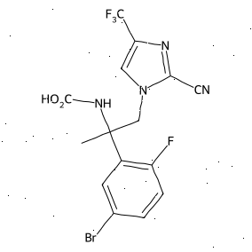 CC(Cn1cc(C(F)(F)F)nc1C#N)(NC(=O)O)c1cc(Br)ccc1F